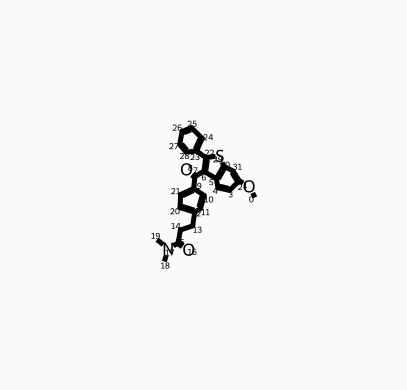 COc1ccc2c(C(=O)c3ccc(CCC(=O)N(C)C)cc3)c(-c3ccccc3)sc2c1